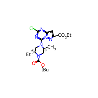 CCOC(=O)c1cc2nc(Cl)nc(N3C[C@@H](CC)N(C(=O)OC(C)(C)C)C[C@@H]3C)n2n1